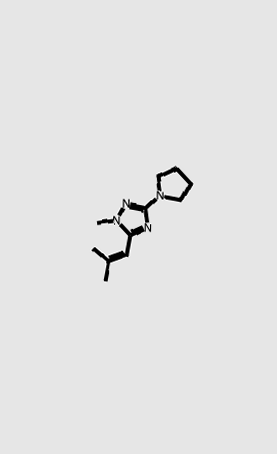 CC(C)=Cc1nc(N2CCCC2)nn1C